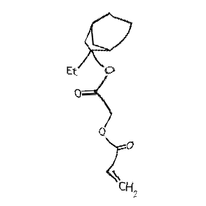 C=CC(=O)OCC(=O)OC1(CC)CC2CCC1C2